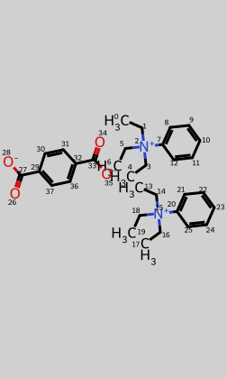 CC[N+](CC)(CC)c1ccccc1.CC[N+](CC)(CC)c1ccccc1.O=C([O-])c1ccc(C(=O)[O-])cc1